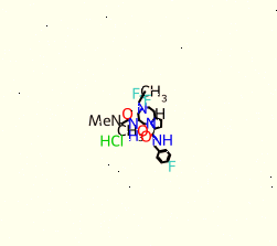 CN[C@@H](C)C(=O)N[C@H]1CN(CC(C)(F)F)CC[C@H]2CC[C@@H](C(=O)NCc3ccc(F)cc3)N2C1=O.Cl